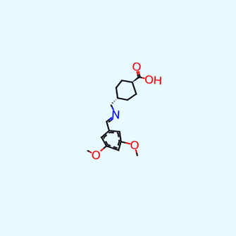 COc1cc(C=NC[C@H]2CC[C@H](C(=O)O)CC2)cc(OC)c1